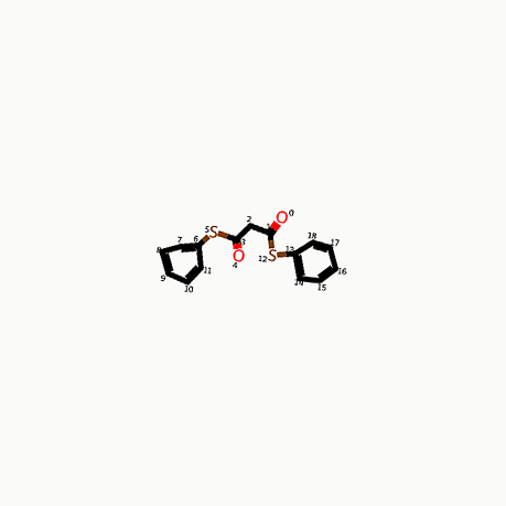 O=C(CC(=O)Sc1ccccc1)Sc1ccccc1